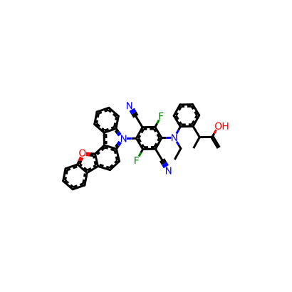 C=C(O)C(C)c1ccccc1N(CC)c1c(F)c(C#N)c(-n2c3ccccc3c3c4oc5ccccc5c4ccc32)c(F)c1C#N